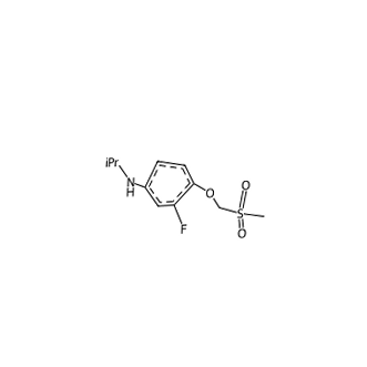 CC(C)Nc1ccc(OCS(C)(=O)=O)c(F)c1